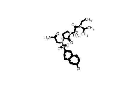 CCN(C(=O)[C@H](C)N1CC[C@H](N(CC(N)=O)S(=O)(=O)c2ccc3cc(Cl)ccc3c2)C1=O)C(C)C